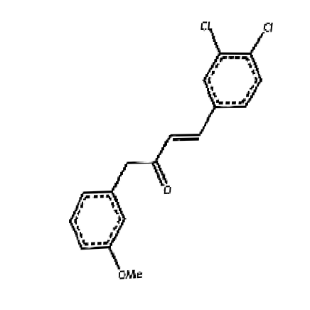 COc1cccc(CC(=O)C=Cc2ccc(Cl)c(Cl)c2)c1